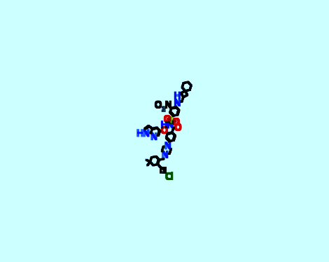 CC1(C)CCC(CN2CCN(c3ccc(C(=O)NS(=O)(=O)c4ccc(NCC5CC6(CCCCC6)C5)c([N+](=O)[O-])c4)c(Oc4cnc5[nH]ccc5c4)c3)CC2)=C(C23CC(Cl)(C2)C3)C1